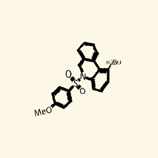 CC[C@H](C)c1cccc2c1-c1ccccc1CN2S(=O)(=O)c1ccc(OC)cc1